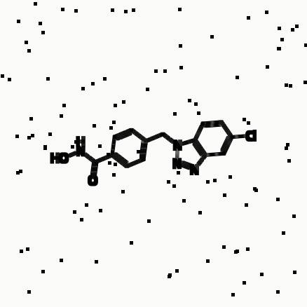 O=C(NO)c1ccc(Cn2nnc3cc(Cl)ccc32)cc1